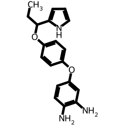 CCC(Oc1ccc(Oc2ccc(N)c(N)c2)cc1)c1ccc[nH]1